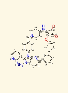 Nc1ncccc1-c1nc2ccc(-c3ccccc3)nc2n1-c1ccc(CN2CCC(Nc3c(OC4CCCC4)c(=O)c3=O)CC2)cc1